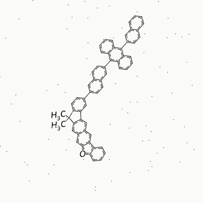 CC1(C)c2ccc(-c3ccc4cc(-c5c6ccccc6c(-c6ccc7ccccc7c6)c6ccccc56)ccc4c3)cc2-c2cc3cc4c(cc3cc21)oc1ccccc14